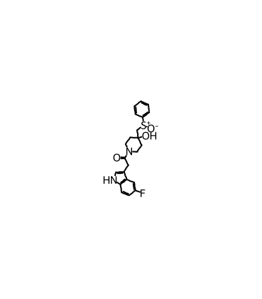 O=C(Cc1c[nH]c2ccc(F)cc12)N1CCC(O)(C[S+]([O-])c2ccccc2)CC1